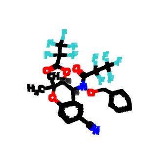 CC1(C)Oc2ccc(C#N)cc2[C@H](N(OCc2ccccc2)C(=O)C(F)(F)C(F)(F)F)[C@H]1OC(=O)C(F)(F)C(F)(F)F